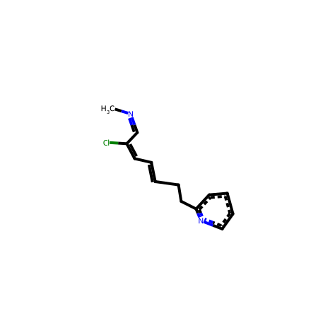 C\N=C/C(Cl)=C\C=C\CCc1ccccn1